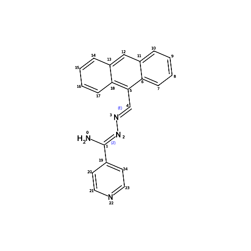 N/C(=N\N=C\c1c2ccccc2cc2ccccc12)c1ccncc1